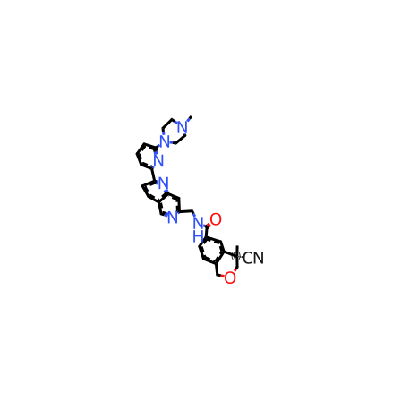 CN1CCN(c2cccc(-c3ccc4cnc(CNC(=O)c5ccc6c(c5)[C@](C)(C#N)COC6)cc4n3)n2)CC1